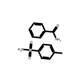 Cc1ccc(S(N)(=O)=O)cc1.NC(=O)c1ccccc1